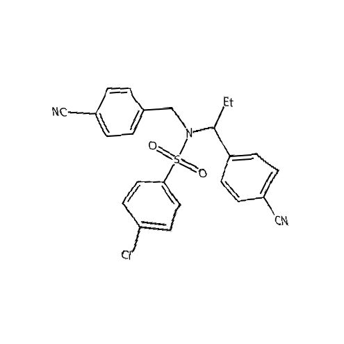 CCC(c1ccc(C#N)cc1)N(Cc1ccc(C#N)cc1)S(=O)(=O)c1ccc(Cl)cc1